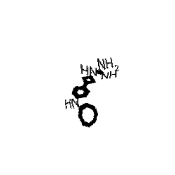 N=C(N)NC1CC(c2ccc(NC3CCCCCCC3)cc2)C1